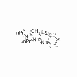 CCCN(CCC)/C(C)=N/C1=Nc2ccccc2SC1